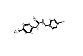 O=C(NCc1ccc(Cl)cc1)Oc1ccc([N+](=O)[O-])cc1